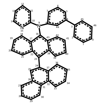 c1ccc(-c2cccc(N(c3ccccn3)c3c4ccccc4c(-c4cc5ccccc5c5ccccc45)c4ccccc34)c2)cc1